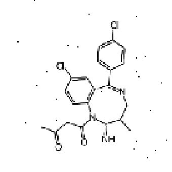 CC(=O)CC(=O)N1C(=N)C(C)CN=C(c2ccc(Cl)cc2)c2cc(Cl)ccc21